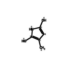 Cc1cc(O)[nH]c1O